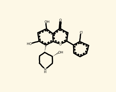 O=c1cc(-c2ccccc2Cl)oc2c([C@H]3CCNC[C@H]3O)c(O)cc(O)c12